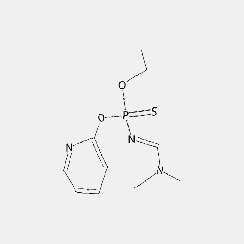 CCOP(=S)(/N=C/N(C)C)Oc1ccccn1